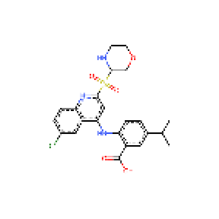 CC(C)c1ccc(Nc2cc(S(=O)(=O)C3COCCN3)nc3ccc(Cl)cc23)c(C(=O)O)c1